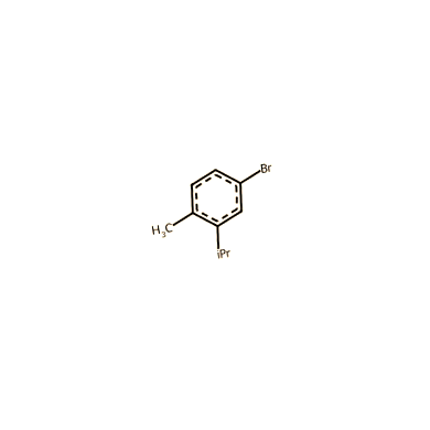 Cc1ccc(Br)cc1C(C)C